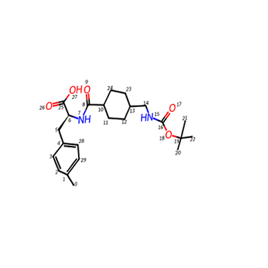 Cc1ccc(C[C@H](NC(=O)C2CCC(CNC(=O)OC(C)(C)C)CC2)C(=O)O)cc1